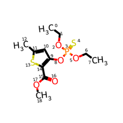 CCOP(=S)(OCC)Oc1cc(C)sc1C(=O)OC